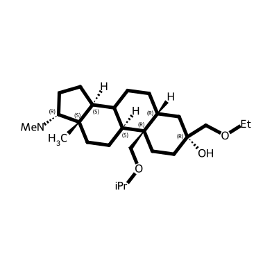 CCOC[C@@]1(O)CC[C@@]2(COC(C)C)[C@H](CCC3[C@@H]4CC[C@@H](NC)[C@@]4(C)CC[C@@H]32)C1